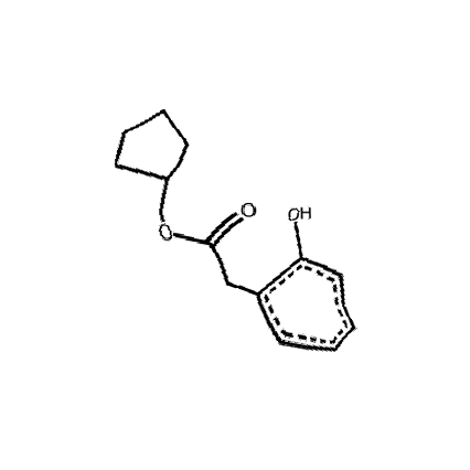 O=C(Cc1ccccc1O)OC1CCCC1